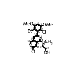 CCc1c(OC)cc(OC)c(Cl)c1-c1cc2cnc(Cl)cc2c(N(C)CCO)n1